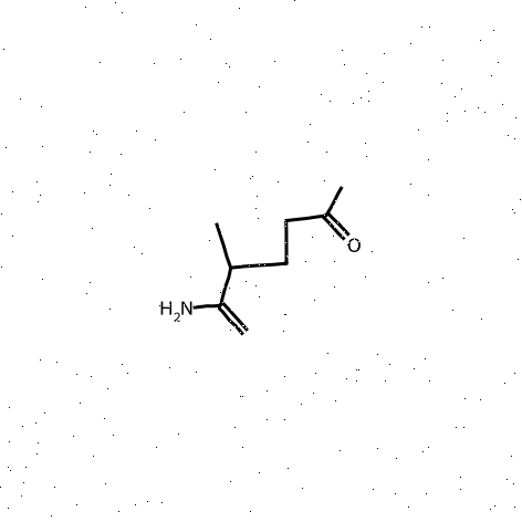 C=C(N)C(C)CCC(C)=O